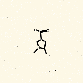 CC1CC(C(=O)Cl)CN1C